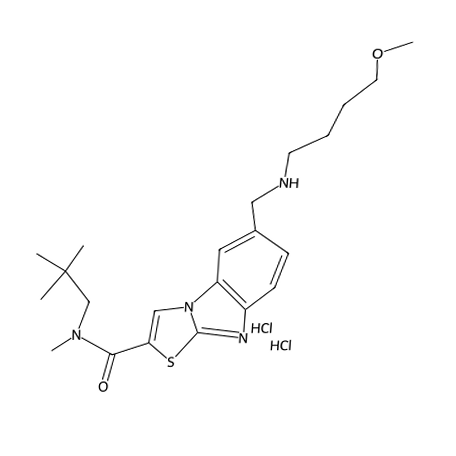 COCCCCNCc1ccc2nc3sc(C(=O)N(C)CC(C)(C)C)cn3c2c1.Cl.Cl